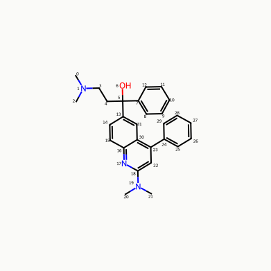 CN(C)CCC(O)(c1ccccc1)c1ccc2nc(N(C)C)cc(-c3ccccc3)c2c1